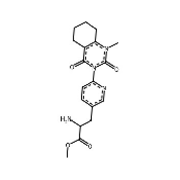 COC(=O)C(N)Cc1ccc(-n2c(=O)c3c(n(C)c2=O)CCCC3)nc1